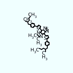 CCCCC(CC)Cc1ccc(-c2ccc(-c3c4nsnc4c(-c4ccc(-c5ccc(CC(CC)CCCC)cc5)s4)c4nc(C)c(C)nc34)s2)cc1